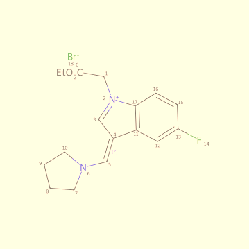 CCOC(=O)C[N+]1=C/C(=C\N2CCCC2)c2cc(F)ccc21.[Br-]